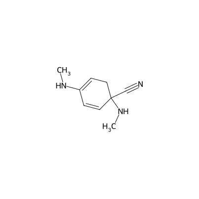 CNC1=CCC(C#N)(NC)C=C1